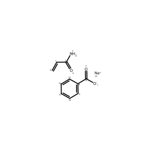 C=CC(N)=O.O=C([O-])c1ccccc1.[Na+]